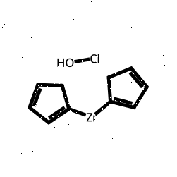 C1=CC[C]([Zr][C]2=CC=CC2)=C1.OCl